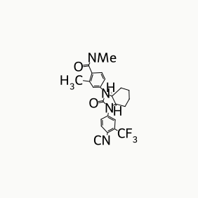 CNC(=O)c1ccc(N2C(=O)N(c3ccc(C#N)c(C(F)(F)F)c3)[C@H]3CCCC[C@@H]32)cc1C